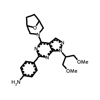 COCC(COC)n1ncc2c(N3CC4CCC(C3)O4)nc(-c3ccc(N)cc3)nc21